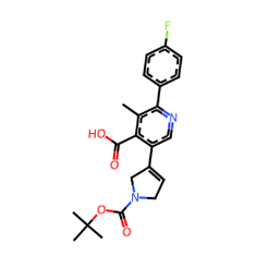 Cc1c(-c2ccc(F)cc2)ncc(C2=CCN(C(=O)OC(C)(C)C)C2)c1C(=O)O